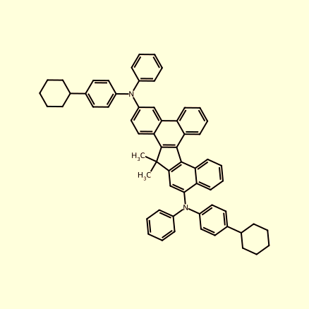 CC1(C)c2cc(N(c3ccccc3)c3ccc(C4CCCCC4)cc3)c3ccccc3c2-c2c1c1ccc(N(c3ccccc3)c3ccc(C4CCCCC4)cc3)cc1c1ccccc21